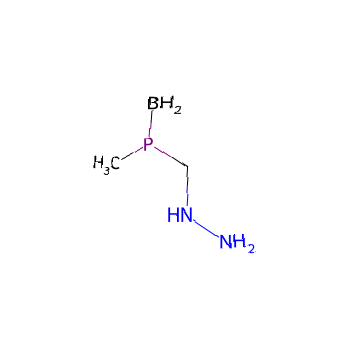 BP(C)CNN